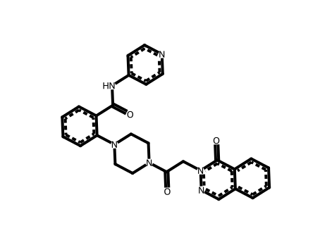 O=C(Nc1ccncc1)c1ccccc1N1CCN(C(=O)Cn2ncc3ccccc3c2=O)CC1